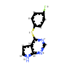 Fc1ccc(Sc2ncnc3[nH]ccc23)cc1